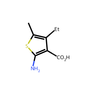 CCc1c(C)sc(N)c1C(=O)O